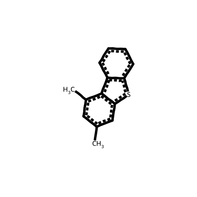 Cc1cc(C)c2c(c1)sc1ccccc12